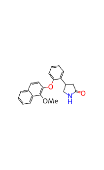 COc1c(Oc2ccccc2C2CNC(=O)C2)ccc2ccccc12